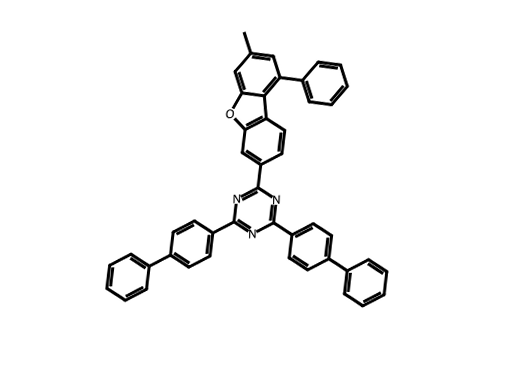 Cc1cc(-c2ccccc2)c2c(c1)oc1cc(-c3nc(-c4ccc(-c5ccccc5)cc4)nc(-c4ccc(-c5ccccc5)cc4)n3)ccc12